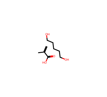 C=C(C)C(=O)O.OCCCCCO